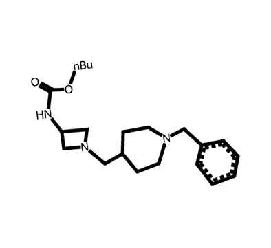 CCCCOC(=O)NC1CN(CC2CCN(Cc3ccccc3)CC2)C1